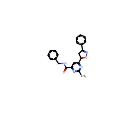 Cc1nc(C(=O)NCc2ccccc2)cc(C2CC(c3ccccc3)=NO2)n1